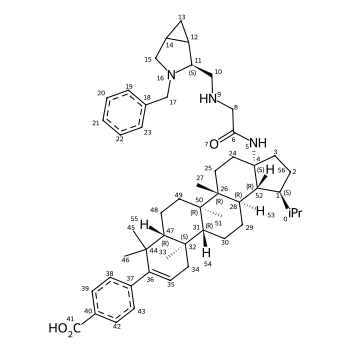 CC(C)[C@@H]1CC[C@]2(NC(=O)CNC[C@@H]3C4CC4CN3Cc3ccccc3)CC[C@]3(C)[C@H](CC[C@@H]4[C@@]5(C)CC=C(c6ccc(C(=O)O)cc6)C(C)(C)[C@@H]5CC[C@]43C)[C@@H]12